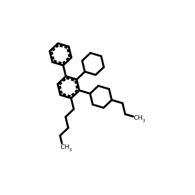 CCCCCc1ccc(-c2ccccc2)c(C2CCCCC2)c1C1CCC(CCC)CC1